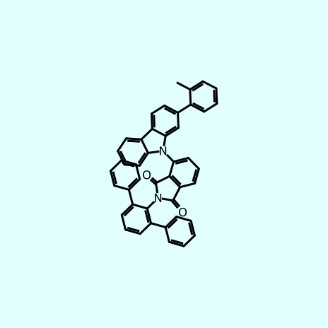 Cc1ccccc1-c1ccc2c3ccccc3n(-c3cccc4c3C(=O)N(c3c(-c5ccccc5)cccc3-c3ccccc3)C4=O)c2c1